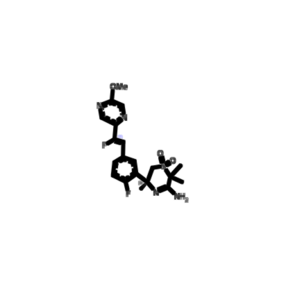 COc1cnc(/C(F)=C/c2ccc(F)c([C@]3(C)CS(=O)(=O)C(C)(C)C(N)=N3)c2)cn1